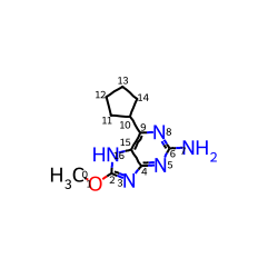 COc1nc2nc(N)nc(C3CCCC3)c2[nH]1